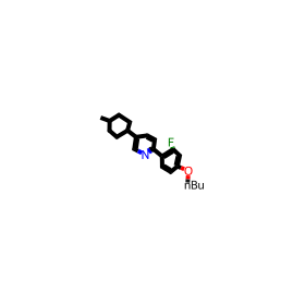 CCCCOc1ccc(-c2ccc(C3CCC(C)CC3)cn2)c(F)c1